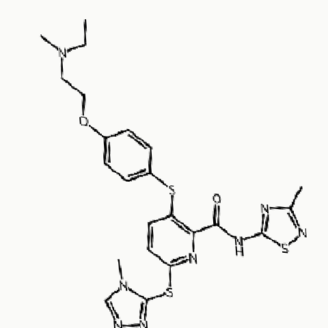 CCN(C)CCOc1ccc(Sc2ccc(Sc3nncn3C)nc2C(=O)Nc2nc(C)ns2)cc1